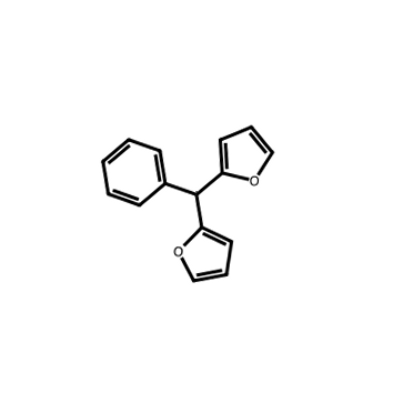 c1ccc([C](c2ccco2)c2ccco2)cc1